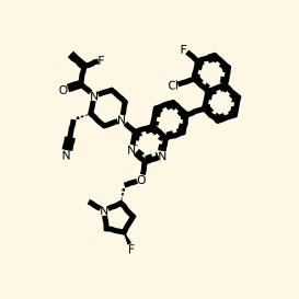 C=C(F)C(=O)N1CCN(c2nc(OC[C@@H]3C[C@@H](F)CN3C)nc3cc(-c4cccc5ccc(F)c(Cl)c45)ccc23)C[C@@H]1CC#N